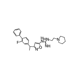 CC(c1ccc(-c2ccccc2)c(F)c1)c1cc(NC(=N)NCCN2CCCCC2)on1